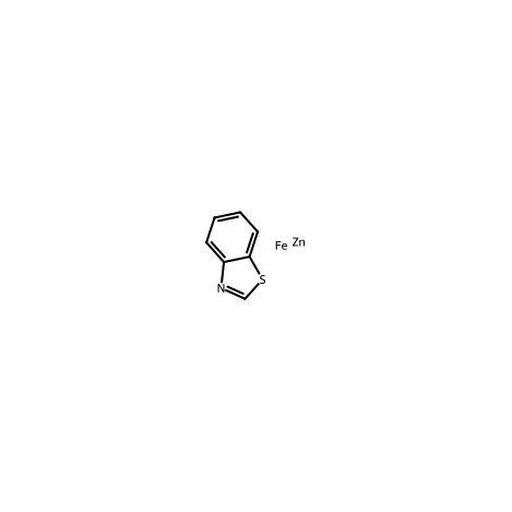 [Fe].[Zn].c1ccc2scnc2c1